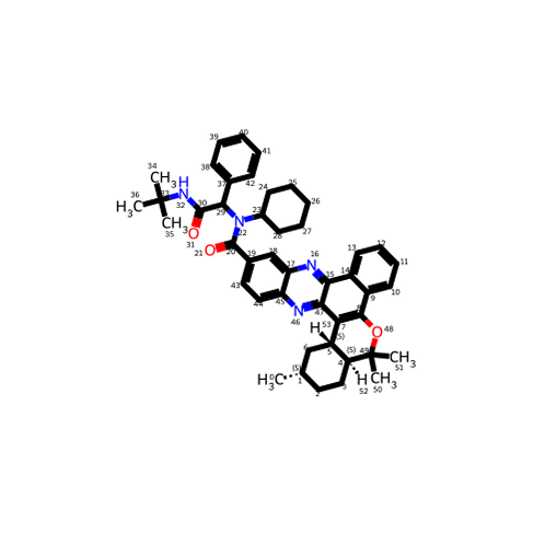 C[C@H]1CC[C@H]2[C@H](C1)c1c(c3ccccc3c3nc4cc(C(=O)N(C5CCCCC5)C(C(=O)NC(C)(C)C)c5ccccc5)ccc4nc13)OC2(C)C